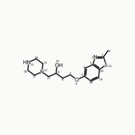 Cc1nc2cc(OCCC(O)CN3CCNCC3)ccc2s1